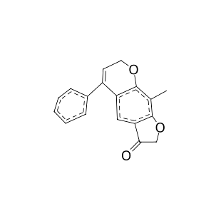 Cc1c2c(cc3c1OCC=C3c1ccccc1)C(=O)CO2